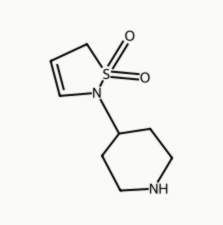 O=S1(=O)CC=CN1C1CCNCC1